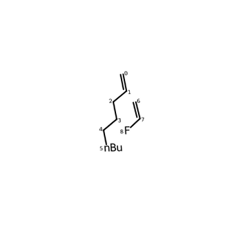 C=CCCCCCCC.C=CF